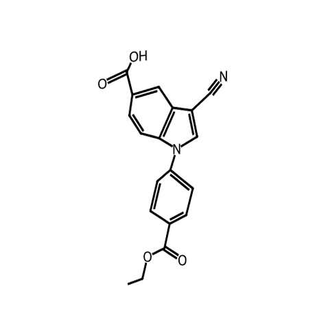 CCOC(=O)c1ccc(-n2cc(C#N)c3cc(C(=O)O)ccc32)cc1